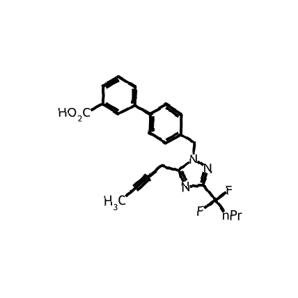 CC#CCc1nc(C(F)(F)CCC)nn1Cc1ccc(-c2cccc(C(=O)O)c2)cc1